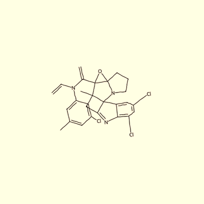 C=CN(C(=C)C12OC13CCCN3C13C(=Nc4c(Cl)cc(Cl)cc41)CC32C)c1cc(C)cc(Cl)c1